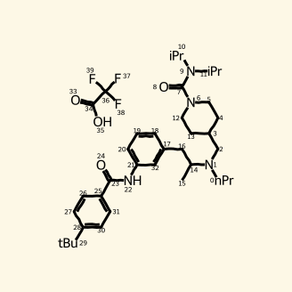 CCCN(CC1CCN(C(=O)N(C(C)C)C(C)C)CC1)C(C)Cc1cccc(NC(=O)c2ccc(C(C)(C)C)cc2)c1.O=C(O)C(F)(F)F